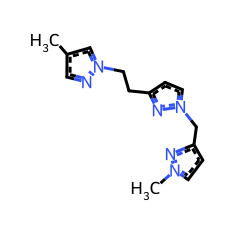 Cc1cnn(CCc2ccn(Cc3ccn(C)n3)n2)c1